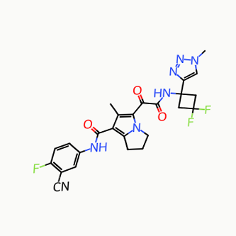 Cc1c(C(=O)Nc2ccc(F)c(C#N)c2)c2n(c1C(=O)C(=O)NC1(c3cn(C)nn3)CC(F)(F)C1)CCC2